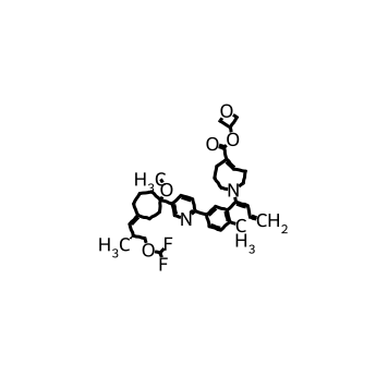 C=C/C=C(\c1cc(-c2ccc(C3(OC)CCC/C(=C/[C@@H](C)COC(F)F)CC3)cn2)ccc1C)N1CC/C=C(\C(=O)OC2COC2)CCC1